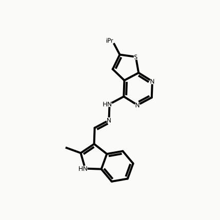 Cc1[nH]c2ccccc2c1C=NNc1ncnc2sc(C(C)C)cc12